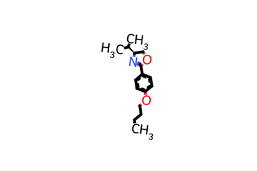 CCCCOc1ccc(C2=N[C@@H](C(C)C)CO2)cc1